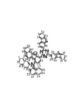 c1ccc2cc3c(cc2c1)c1ccc2ccccc2c1n3-c1ccc(-c2nc(-c3ccc4c(c3)sc3ccccc34)nc(-c3ccc4c(c3)sc3ccccc34)n2)c2oc3c4ccccc4ccc3c12